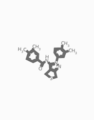 Cc1ccc(C(=O)Nc2c3c(nn2-c2ccc(C)c(C)c2)CSC3)cc1C